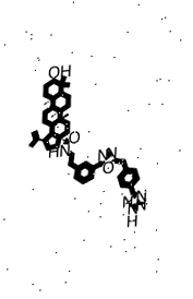 C=C(C)[C@@H]1CC[C@]2(C(=O)NCCc3cccc(-c4nnc(Cc5ccc(-c6nn[nH]n6)cc5)o4)c3)CC[C@]3(C)C(CCC4[C@@]5(C)CC[C@H](O)C(C)(C)C5CC[C@]43C)C12